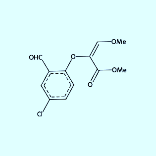 CO/C=C(/Oc1ccc(Cl)cc1C=O)C(=O)OC